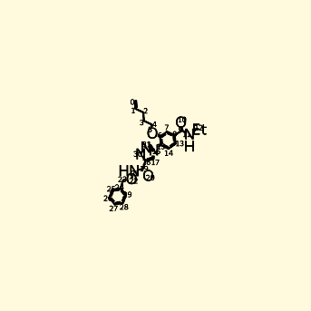 C=CCCCOc1cc(C(=O)NCC)ccc1-n1cc(C(=O)NOCc2ccccc2)nn1